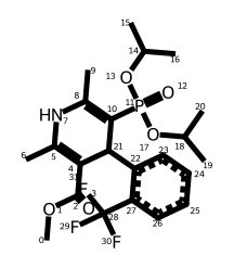 COC(=O)C1=C(C)NC(C)=C(P(=O)(OC(C)C)OC(C)C)C1c1ccccc1C(F)(F)F